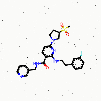 CS(=O)(=O)C1CCN(c2ccc(C(=O)NCc3cccnc3)c(NCCc3cccc(F)c3)n2)C1